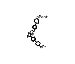 CCCCCC1CCC(c2ccc(COC(F)(F)C(F)c3ccc(C4CCC(CCC)CC4)cc3)cc2)CC1